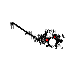 CCCC[C@H](NC(=O)[C@H](CNC(=O)CN(CC(=O)O)CC(=O)O)NC(=O)[C@H](CO)NC(=O)[C@H](CCC(N)=O)NC(=O)[C@H](CO)NC(=O)CNC(=O)COCCOCCNC(=O)CCCCCCCCCCCCCCCc1nnn[nH]1)C(=O)N[C@H]1CCC(=O)NCCCC[C@@H](C(N)=O)NC(=O)[C@H](Cc2c[nH]c3ccccc23)NC(=O)[C@H](CCCNC(N)N)NC(=O)[C@@H](Cc2ccccc2)NC(=O)C2C[C@@H](O)CN2C1=O